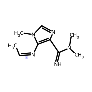 C/C=N\c1c(C(=N)N(C)C)ncn1C